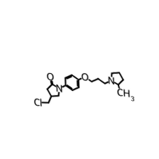 CC1CCCN1CCCOc1ccc(N2CC(CCl)CC2=O)cc1